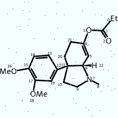 CCC(=O)OC1=C[C@@H]2N(C)CCC2(c2ccc(OC)c(OC)c2)CC1